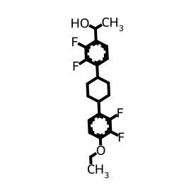 CCOc1ccc(C2CCC(c3ccc(C(C)O)c(F)c3F)CC2)c(F)c1F